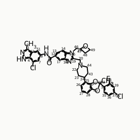 Cc1n[nH]c2c(Cl)cc(NC(=O)c3ccc4c(c3)nc(CN3CCC(c5cccc6c5OC(C)(c5ccc(Cl)cc5F)O6)CC3)n4C[C@@H]3CCO3)cc12